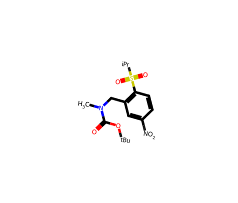 CC(C)S(=O)(=O)c1ccc([N+](=O)[O-])cc1CN(C)C(=O)OC(C)(C)C